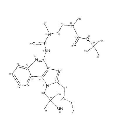 CCOCc1nc2c(NC(=O)N(C)CCN(C)C(=O)OC(C)(C)C)nc3ccccc3c2n1CC(C)(C)O